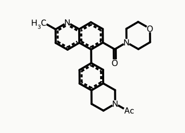 CC(=O)N1CCc2ccc(-c3c(C(=O)N4CCOCC4)ccc4nc(C)ccc34)cc2C1